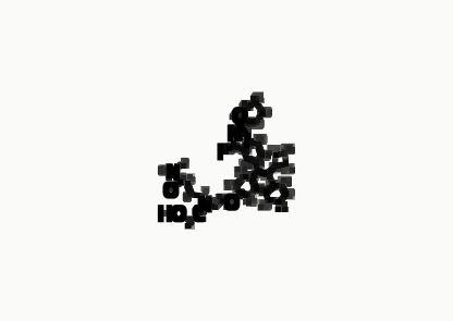 CN(C)C(=O)C=CCN(CCOc1ccc(C(=C(c2ccccc2)C2CCC2)c2ccc3c(c2)c(F)nn3C2CCCCO2)cc1)C(=O)O